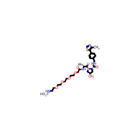 Cc1ncsc1-c1ccc(CNC(=O)[C@@H]2C[C@@H](O)CN2C(=O)[C@@H](NC(=O)COCCOCCOCCOCCNC(=O)O)C(C)(C)C)cc1